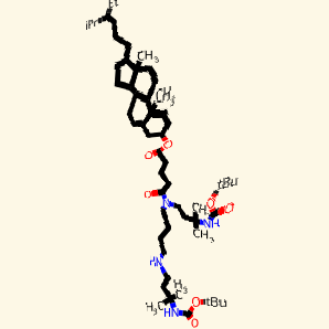 CCC(CCCC1CCC2C3CC=C4CC(OC(=O)CCCC(=O)N(CCCCNCCC(C)(C)NC(=O)OC(C)(C)C)CCC(C)(C)NC(=O)OC(C)(C)C)CCC4(C)C3CCC12C)C(C)C